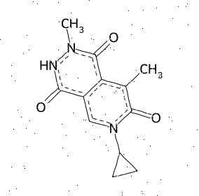 Cc1c(=O)n(C2CC2)cc2c(=O)[nH]n(C)c(=O)c12